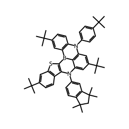 CC(C)(C)c1ccc(N2c3ccc(C(C)(C)C)cc3B3c4sc5cc(C(C)(C)C)ccc5c4N(c4ccc5c(c4)C(C)(C)CC5(C)C)c4cc(C(C)(C)C)cc2c43)cc1